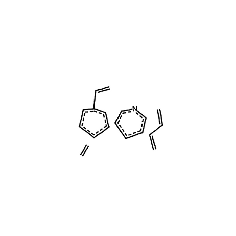 C=C.C=CC=C.C=Cc1ccccc1.c1ccncc1